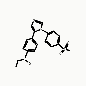 CC[S+]([O-])c1ccc(-c2cncn2-c2ccc(S(C)(=O)=O)cc2)cc1